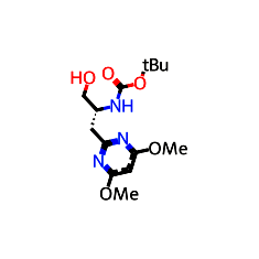 COc1cc(OC)nc(C[C@H](CO)NC(=O)OC(C)(C)C)n1